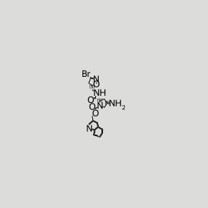 N[C@@H]1C[C@@H](C(=O)NC[C@@H]2CC(Br)=NO2)N(C(=O)OCc2cnc3ccccc3c2)C1